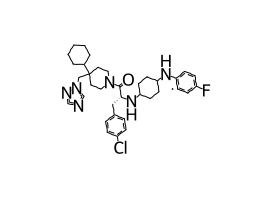 O=C([C@@H](Cc1ccc(Cl)cc1)NC1CCC(Nc2[c]cc(F)cc2)CC1)N1CCC(Cn2cncn2)(C2CCCCC2)CC1